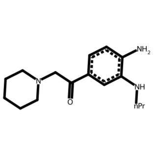 CCCNc1cc(C(=O)CN2CCCCC2)ccc1N